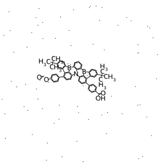 CC(C)(C)c1ccc2c(c1)-c1c(-c3ccc(OC=O)cc3)ccc3c1B2c1cccc2c1N3c1ccc(-c3ccc(C(=O)O)cc3)c3c1B2c1ccc(C(C)(C)C)cc1-3